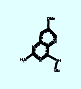 COc1cnc2c(NC(C)(C)C)nc(N)nc2c1